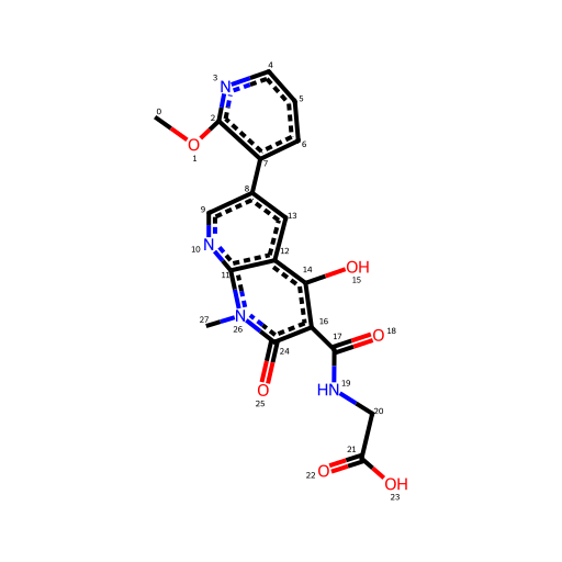 COc1ncccc1-c1cnc2c(c1)c(O)c(C(=O)NCC(=O)O)c(=O)n2C